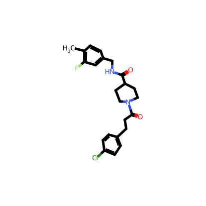 Cc1ccc(CNC(=O)C2CCN(C(=O)CCc3ccc(Cl)cc3)CC2)cc1F